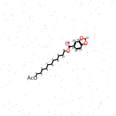 CC(=O)OCCCCCCCCCCCOC(=O)c1ccc2c(c1)OCO2